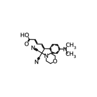 CN(C)c1ccc(C(=C/C=C/C(=O)O)C(C#N)(C#N)N2CCOCC2)cc1